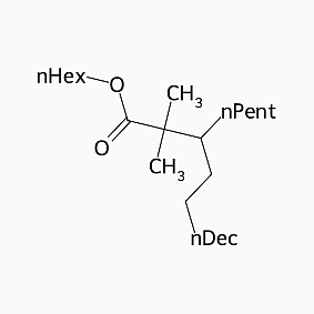 CCCCCCCCCCCCC(CCCCC)C(C)(C)C(=O)OCCCCCC